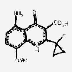 COc1ccc(N)c2c(=O)c(C(=O)O)c(C3(F)CC3)[nH]c12